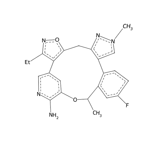 CCc1noc2c1-c1cnc(N)c(c1)OC(C)c1cc(F)ccc1-c1cn(C)nc1C2